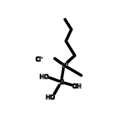 CCCC[N+](C)(C)[Si](O)(O)O.[Cl-]